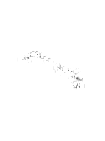 N/C(=C\N(N)CCCCOc1ccc(Cn2ccc3ccc(C(=O)NO)cc32)cc1)CNc1cccc2c1C(=O)N(C1CCC(=O)NC1=O)C2=O